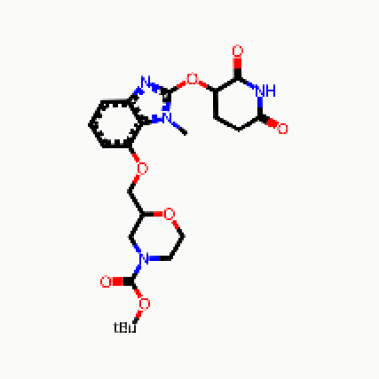 Cn1c(OC2CCC(=O)NC2=O)nc2cccc(OCC3CN(C(=O)OC(C)(C)C)CCO3)c21